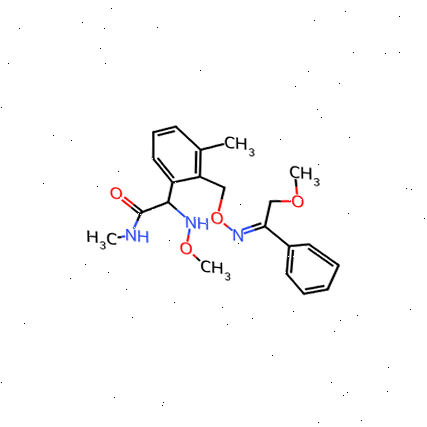 CNC(=O)C(NOC)c1cccc(C)c1CO/N=C(\COC)c1ccccc1